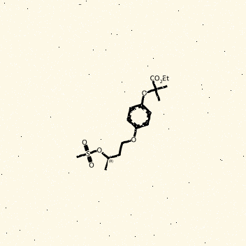 CCOC(=O)C(C)(C)Oc1ccc(OCC[C@@H](C)OS(C)(=O)=O)cc1